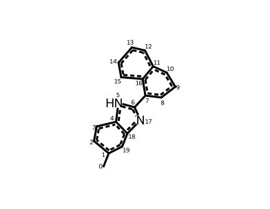 Cc1ccc2[nH]c(-c3cccc4ccccc34)nc2c1